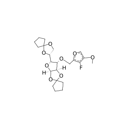 COc1coc(CO[C@@H]2[C@H]3OC4(CCCC4)O[C@H]3O[C@@H]2[C@H]2COC3(CCCC3)O2)c1F